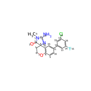 CN1C(=O)C2(CCOc3ccc(-c4cc(F)cc(Cl)c4)cc32)N=C1N